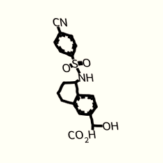 N#Cc1ccc(S(=O)(=O)NC2CCCc3cc(C(O)C(=O)O)ccc32)cc1